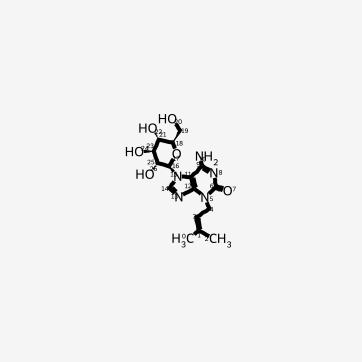 CC(C)=CCn1c(=O)nc(N)c2c1ncn2[C@@H]1O[C@H](CO)[C@@H](O)[C@H](O)[C@H]1O